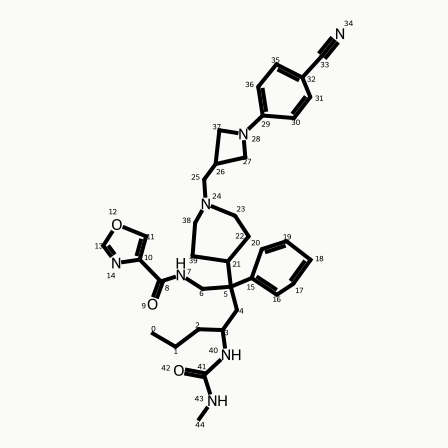 CCCC(CC(CNC(=O)c1cocn1)(c1ccccc1)C1CCN(CC2CN(c3ccc(C#N)cc3)C2)CC1)NC(=O)NC